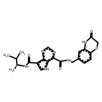 CC(C)[C@H](C)NC(=O)c1c[nH]c2c(C(=O)NCc3ccc4c(c3)NC(=O)CO4)ncnc12